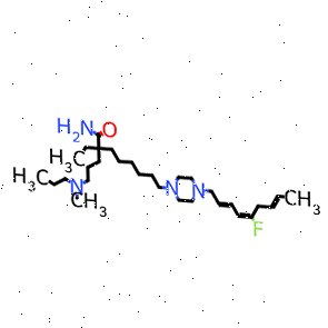 CC=CC/C(F)=C\C=C\CN1CCN(CCCCCCC(CC)(CCCN(C)CCC)C(N)=O)CC1